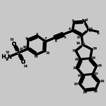 Cn1ncc(C#Cc2ccc(S(N)(=O)=O)cc2)c1N1Cc2cc3ccccc3cc2C1